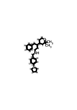 CC1(C)CC(C(CCNCc2ccc(N3CCCC3)cc2)Cc2ccccc2)CCO1